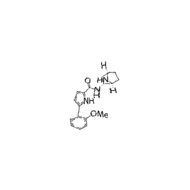 COc1ccccc1-c1ccc(C(=O)N[C@@H]2C[C@H]3CC[C@@H]2N3)[nH]1